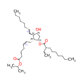 C=CC(CCCCCCC)C(=O)O[C@H]1C[C@@H](O)[C@H](/C=C/CCCCCC)[C@H]1C/C=C\CCCC(=O)OC(C)C